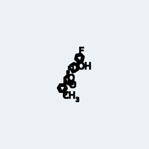 Cc1cccc(N2CC(CN3CCC(O)(c4ccc(F)cc4)CC3)OC2=O)c1